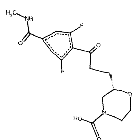 CNC(=O)c1cc(F)c(C(=O)CC[C@H]2CN(C(=O)O)CCO2)c(F)c1